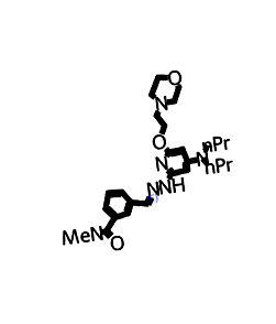 CCCN(CCC)c1cc(N/N=C/c2cccc(C(=O)NC)c2)nc(OCCN2CCOCC2)c1